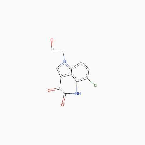 O=CCn1cc2c3c(c(Cl)ccc31)NC(=O)C2=O